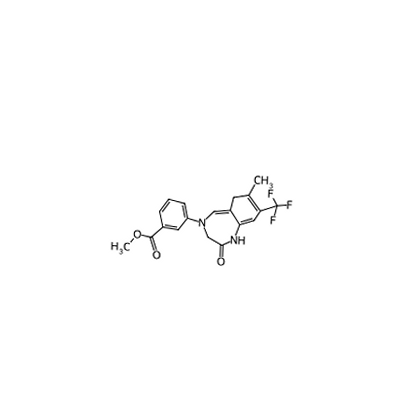 COC(=O)c1cccc(N2C=C3CC(C)=C(C(F)(F)F)C=C3NC(=O)C2)c1